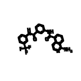 Nc1nccc2c(C(=O)Nc3cccc(C(=O)Nc4cccc(C(F)(F)F)c4)c3)cccc12